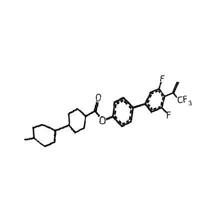 C=C(c1c(F)cc(-c2ccc(OC(=O)C3CCC(C4CCC(C)CC4)CC3)cc2)cc1F)C(F)(F)F